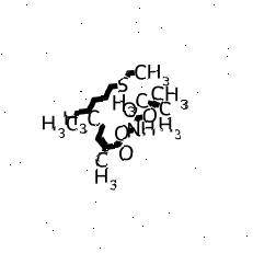 CCC=C(C)C(=O)ONC(=O)OC(C)(C)C.CCCCCCSCC